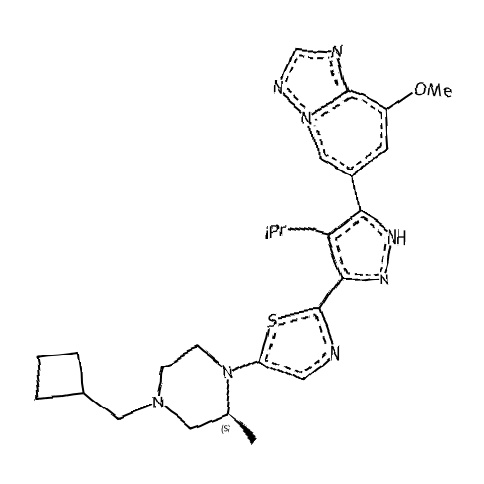 COc1cc(-c2[nH]nc(-c3ncc(N4CCN(CC5CCC5)C[C@@H]4C)s3)c2C(C)C)cn2ncnc12